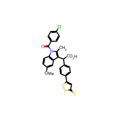 COc1ccc2c(c1)c(C(C(=O)O)c1ccc(-c3cc(=S)ss3)cc1)c(C)n2C(=O)c1ccc(Cl)cc1